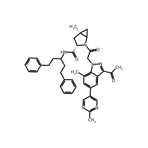 CC(=O)c1nn(CC(=O)N2C3C[C@]3(C)C[C@H]2C(=O)NC(CCc2ccccc2)CCc2ccccc2)c2c(C)cc(-c3cnc(C)nc3)cc12